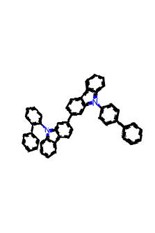 c1ccc(-c2ccc(-n3c4ccccc4c4ccc(-c5ccc6c7ccccc7n(-c7ccccc7-c7ccccc7)c6c5)cc43)cc2)cc1